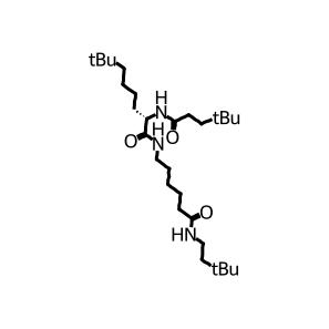 CC(C)(C)CCCC[C@H](NC(=O)CCC(C)(C)C)C(=O)NCCCCCC(=O)NCCC(C)(C)C